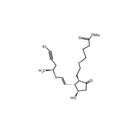 CCC#CC[C@H](C)S/C=C/[C@H]1[C@H](O)CC(=O)[C@@H]1CCSCCCC(=O)OC